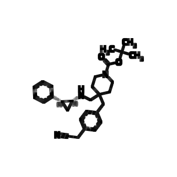 CC(C)(C)OC(=O)N1CCC(CN[C@@H]2C[C@@H]2c2ccccc2)(Cc2ccc(CC#N)cc2)CC1